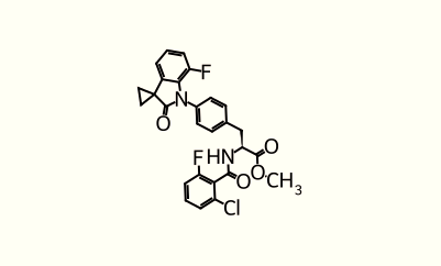 COC(=O)[C@H](Cc1ccc(N2C(=O)C3(CC3)c3cccc(F)c32)cc1)NC(=O)c1c(F)cccc1Cl